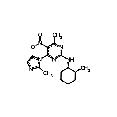 Cc1nc(N[C@@H]2CCCC[C@@H]2C)nc(-n2ccnc2C)c1[N+](=O)[O-]